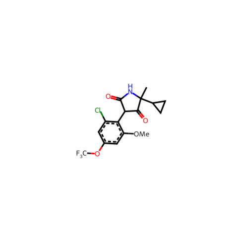 COc1cc(OC(F)(F)F)cc(Cl)c1C1C(=O)NC(C)(C2CC2)C1=O